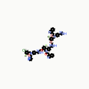 O=C(Cc1cccnn1)N(Cc1cc(F)cc(Cl)c1)c1ccc(-c2c[nH]c(COc3ccc(F)cc3CN(C(=O)Cc3cncc4ccccc34)c3ccc(-c4c[nH]c(COc5cc(F)cc(CN(C(=O)Cc6cncc7ccccc67)c6ccc(-c7c[nH]cn7)cc6)c5)n4)cc3)n2)cc1